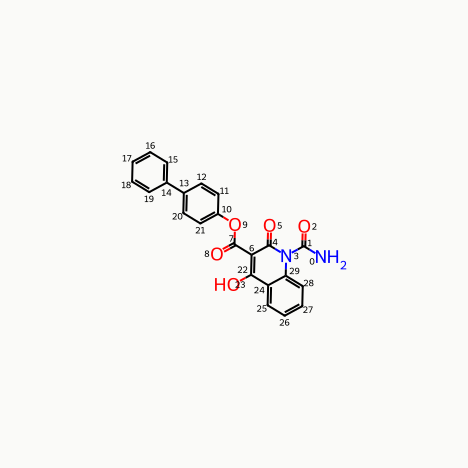 NC(=O)n1c(=O)c(C(=O)Oc2ccc(-c3ccccc3)cc2)c(O)c2ccccc21